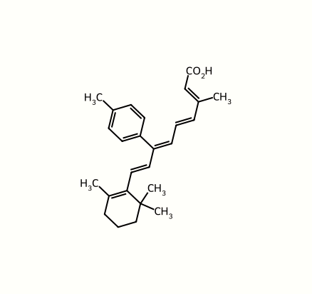 CC(C=CC=C(C=CC1=C(C)CCCC1(C)C)c1ccc(C)cc1)=CC(=O)O